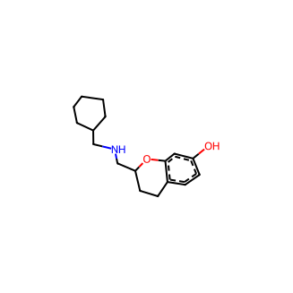 Oc1ccc2c(c1)OC(CNCC1CCCCC1)CC2